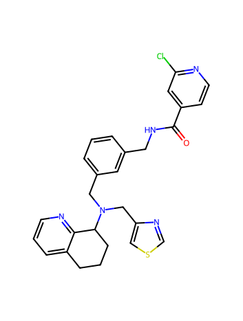 O=C(NCc1cccc(CN(Cc2cscn2)C2CCCc3cccnc32)c1)c1ccnc(Cl)c1